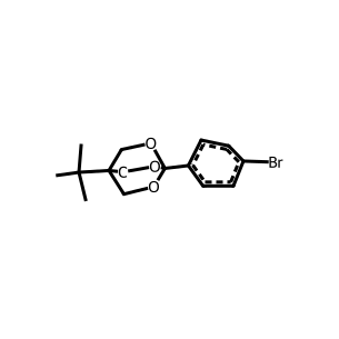 CC(C)(C)C12COC(c3ccc(Br)cc3)(OC1)OC2